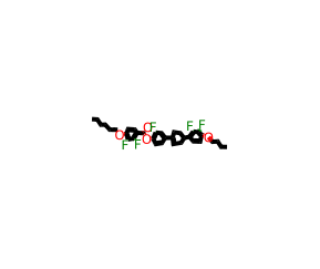 CCCCCCOc1ccc(C(=O)Oc2ccc(C3=CCC(c4ccc(OCCCC)c(F)c4F)CC3)cc2F)c(F)c1F